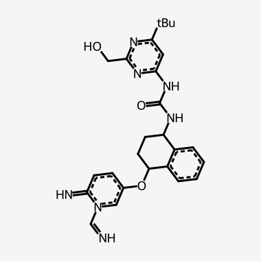 CC(C)(C)c1cc(NC(=O)NC2CCC(Oc3ccc(=N)n(C=N)c3)c3ccccc32)nc(CO)n1